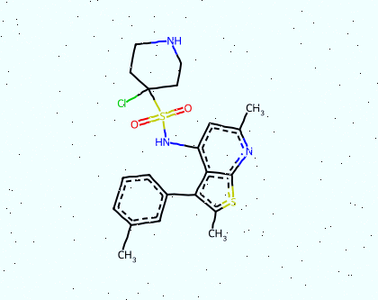 Cc1cccc(-c2c(C)sc3nc(C)cc(NS(=O)(=O)C4(Cl)CCNCC4)c23)c1